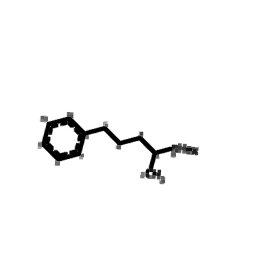 CCCCCCC(C)CCCc1ccccc1